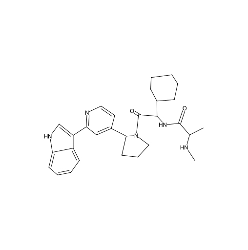 CNC(C)C(=O)NC(C(=O)N1CCCC1c1ccnc(-c2c[nH]c3ccccc23)c1)C1CCCCC1